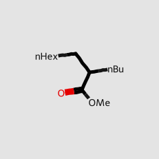 CCCCCCCC(CCCC)C(=O)OC